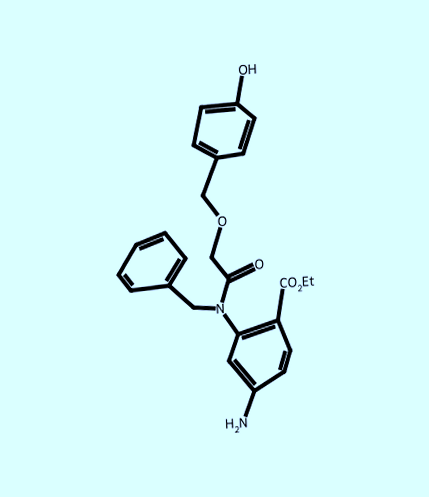 CCOC(=O)c1ccc(N)cc1N(Cc1ccccc1)C(=O)COCc1ccc(O)cc1